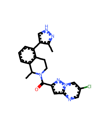 Cc1n[nH]cc1-c1cccc2c1CCN(C(=O)c1cc3ncc(Cl)cn3n1)C2C